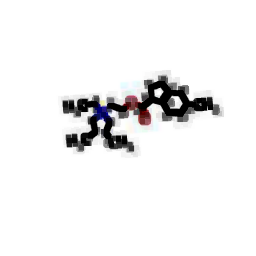 CCC[N+](CC)(CCC)CCOC(=O)C1CCC2=C1C=CC(C)C2